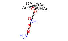 CC(=O)N[C@H]1[C@H](OCCCCC(=O)NCCOCCOCCN)O[C@H](COC(C)=O)[C@H](OC(C)=O)[C@@H]1OC(C)=O